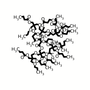 CCCOCC(COCC(COC(=O)CCC)(COC(=O)CC(=O)OCC(COCC(COCCC)(COC(=O)CCC)COC(=O)CCC)(COC(=O)CCC)COC(C)(CC)CC(COC(=O)CCC)(COC(=O)CCC)COC(C)(C)CCC)COC(C)CC(COC(=O)CCC)(COC(=O)CCC)COC(C)(CC)CCC)(COC(=O)CCC)COC(=O)CCC